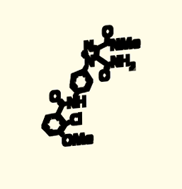 CNC(=O)c1ncn(-c2ccc(NC(=O)c3cccc(OC)c3Cl)cc2)c1C(N)=O